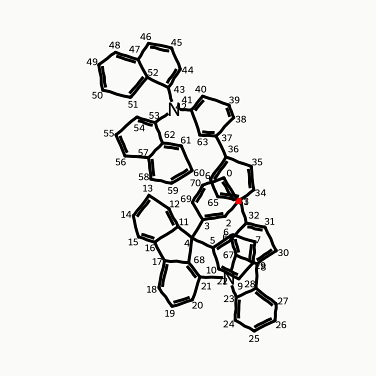 c1ccc(C2(c3ccccc3)c3ccccc3-c3cccc(-n4c5ccccc5c5ccc(-c6ccc(-c7cccc(N(c8cccc9ccccc89)c8cccc9ccccc89)c7)cc6)cc54)c32)cc1